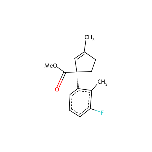 COC(=O)[C@@]1(c2cccc(F)c2C)C=C(C)CC1